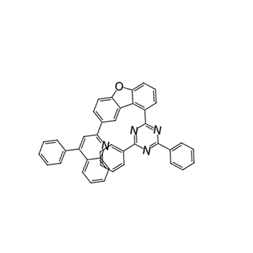 c1ccc(-c2nc(-c3ccccc3)nc(-c3cccc4oc5ccc(-c6cc(-c7ccccc7)c7ccccc7n6)cc5c34)n2)cc1